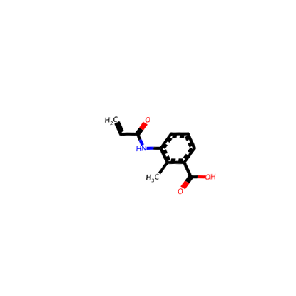 C=CC(=O)Nc1cccc(C(=O)O)c1C